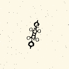 Cc1ccc(N2C(=O)C3C(C2=O)C2C(=O)N(c4ccc(C)cc4)C(=O)C32)cc1